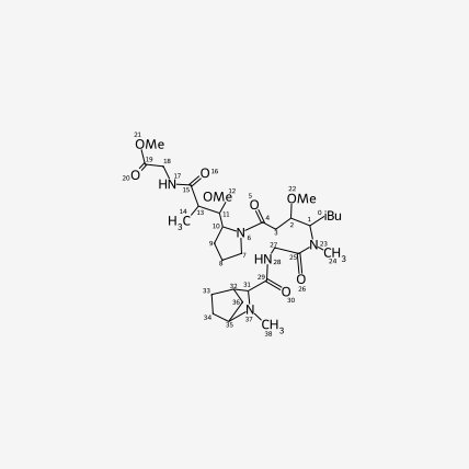 CCC(C)C(C(CC(=O)N1CCCC1C(OC)C(C)C(=O)NCC(=O)OC)OC)N(C)C(=O)CNC(=O)C1C2CCC(C2)N1C